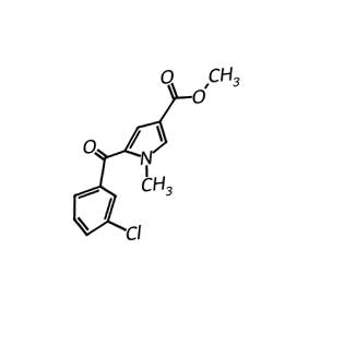 COC(=O)c1cc(C(=O)c2cccc(Cl)c2)n(C)c1